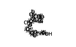 COC(=O)[C@@H]1CCCCN1Cc1cc(Cl)c(OCc2cccc(-c3ccc4c(c3)OC(CCN3CC[C@@H](O)C3)CO4)c2C)cc1OCc1cncc(S(C)(=O)=O)c1